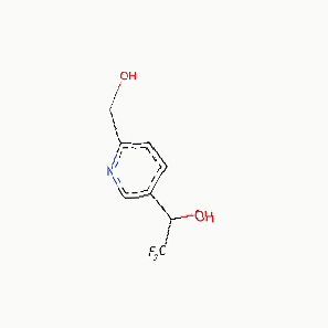 OCc1ccc(C(O)C(F)(F)F)cn1